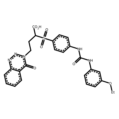 CCOc1cccc(NC(=O)Nc2ccc(S(=O)(=O)C(CCn3nnc4ccccc4c3=O)C(=O)O)cc2)c1